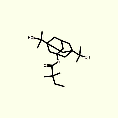 CCC(C)(C)C(=O)OC12CC3CC(C(C)(C)O)(C1)CC(C(C)(C)O)(C3)C2